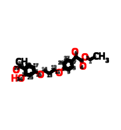 CCOC(=O)C(=O)c1ccc(OCCCOc2ccc(C(C)=O)c(O)c2)cc1